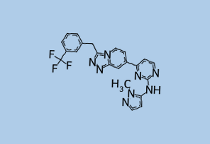 Cn1nccc1Nc1nccc(-c2ccn3c(Cc4cccc(C(F)(F)F)c4)nnc3c2)n1